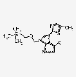 Cc1cnc(-c2cn(COCC[Si](C)(C)C)c3nccc(Cl)c23)s1